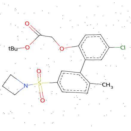 Cc1ccc(S(=O)(=O)N2CCC2)cc1-c1cc(Cl)ccc1OCC(=O)OC(C)(C)C